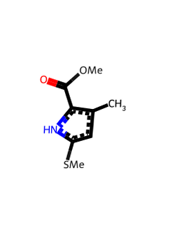 COC(=O)c1[nH]c(SC)cc1C